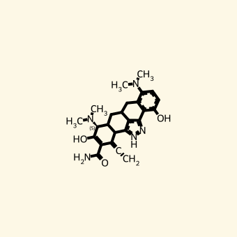 C=C=C1C(C(N)=O)=C(O)[C@@H](N(C)C)C2CC3Cc4c(N(C)C)ccc(O)c4-c4n[nH]c(c43)C12